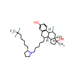 C[C@]12C[C@H](F)[C@@H]3c4ccc(O)cc4CC(CCCCCN4CCC[C@H]4CCCCCC(F)(F)C(F)(F)F)[C@H]3[C@@H]1CC[C@@]2(C)O